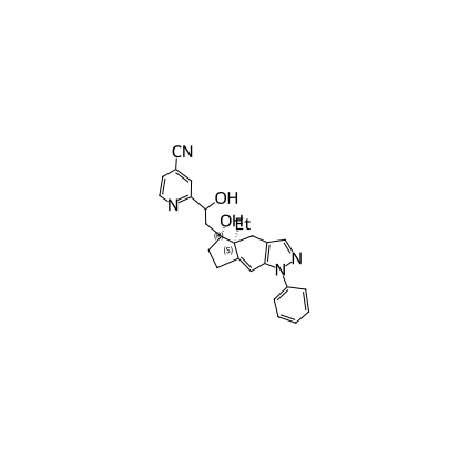 CC[C@]12Cc3cnn(-c4ccccc4)c3C=C1CC[C@@]2(O)CC(O)c1cc(C#N)ccn1